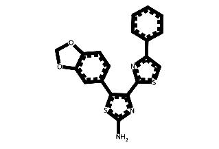 Nc1nc(-c2nc(-c3ccccc3)cs2)c(-c2ccc3c(c2)OCO3)s1